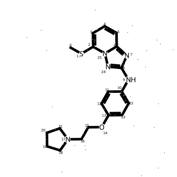 CSc1cccc2nc(Nc3ccc(OCCN4CCCC4)cc3)nn12